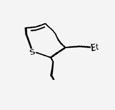 CCC1C=CSC1C